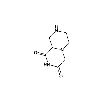 O=C1CN2CCNCC2C(=O)N1